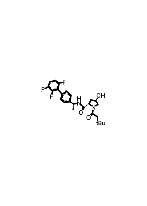 C[C@H](NC(=O)[C@@H]1C[C@@H](O)CN1C(=O)CC(C)(C)C)c1ccc(-c2c(F)ccc(F)c2F)cc1